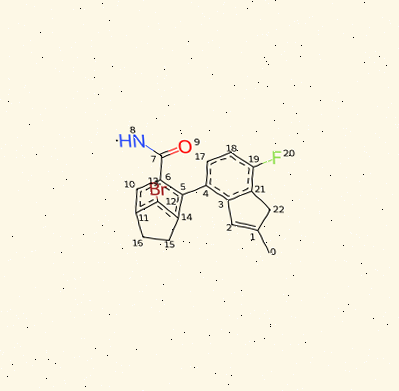 CC1=Cc2c(-c3c(C([NH])=O)cc4c(Br)c3CC4)ccc(F)c2C1